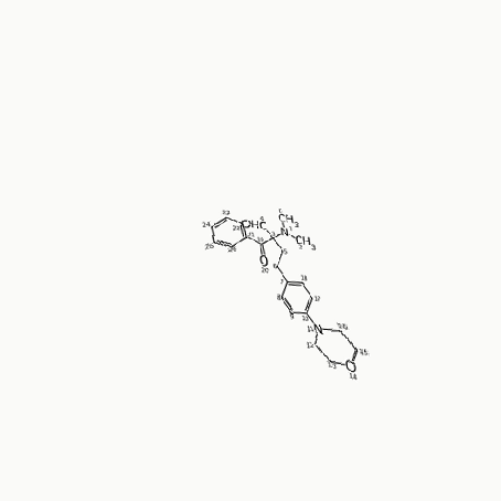 CN(C)C(C=O)(CCc1ccc(N2CCOCC2)cc1)C(=O)c1ccccc1